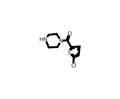 O=C(c1ccc(Cl)s1)N1CCNCC1